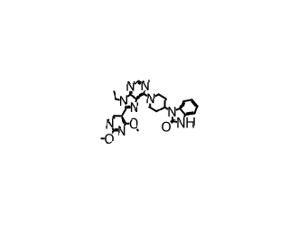 CCn1c(-c2cnc(OC)nc2OC)nc2c(N3CCC(n4c(=O)[nH]c5ccccc54)CC3)ncnc21